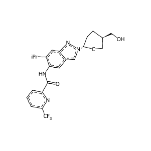 CC(C)c1cc2nn([C@H]3CC[C@H](CO)CC3)cc2cc1NC(=O)c1cccc(C(F)(F)F)n1